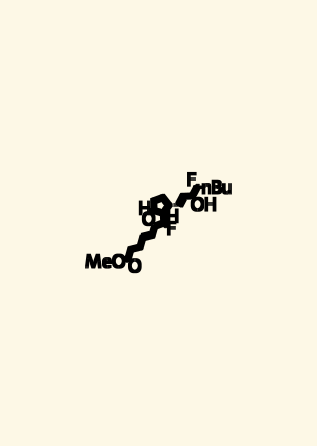 CCCC[C@@H](F)[C@H](O)/C=C/[C@H]1CC[C@H]2OC(/C=C/CCC(=O)OC)C(F)[C@H]12